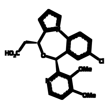 COc1ccnc([C@H]2O[C@H](CC(=O)O)c3cccn3-c3ccc(Cl)cc32)c1OC